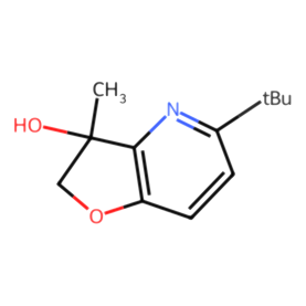 CC(C)(C)c1ccc2c(n1)C(C)(O)CO2